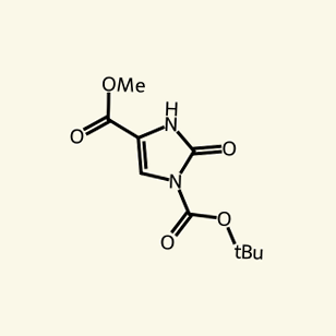 COC(=O)c1cn(C(=O)OC(C)(C)C)c(=O)[nH]1